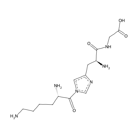 NCCCC[C@H](N)C(=O)n1cnc(C[C@H](N)C(=O)NCC(=O)O)c1